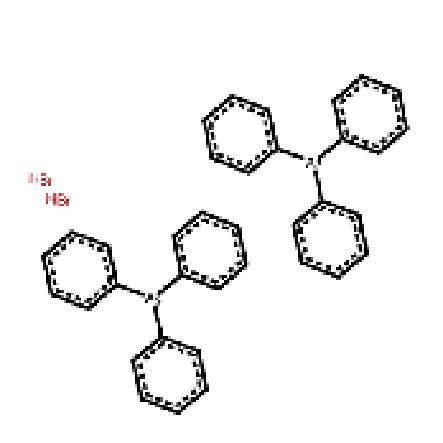 Br.Br.c1ccc([As](c2ccccc2)c2ccccc2)cc1.c1ccc([As](c2ccccc2)c2ccccc2)cc1